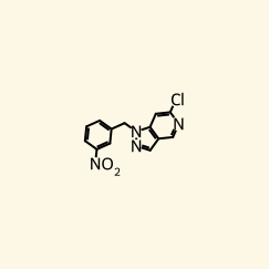 O=[N+]([O-])c1cccc(Cn2ncc3cnc(Cl)cc32)c1